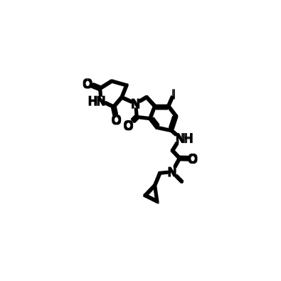 CN(CC1CC1)C(=O)CNc1cc(I)c2c(c1)C(=O)N(C1CCC(=O)NC1=O)C2